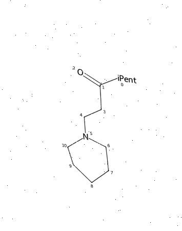 CCCC(C)C(=O)CCN1CCCCC1